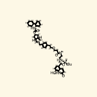 CN(CCNC[C@H](O[Si](C)(C)C(C)(C)C)c1ccc(O)c2[nH]c(=O)ccc12)C(=O)CCOCCc1ccc(CN2C[C@H]3C[C@H](OC(=O)Nc4ccccc4-c4ccccc4)C[C@H]3C2)cc1